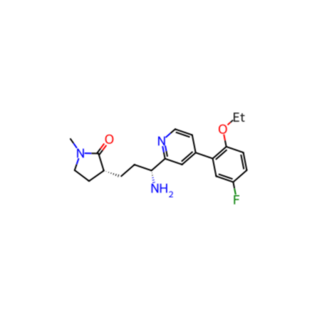 CCOc1ccc(F)cc1-c1ccnc([C@H](N)CC[C@@H]2CCN(C)C2=O)c1